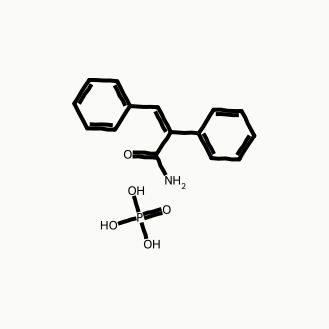 NC(=O)C(=Cc1ccccc1)c1ccccc1.O=P(O)(O)O